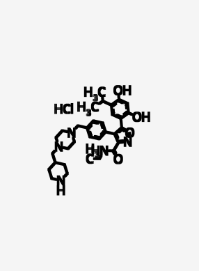 CCNC(=O)c1noc(-c2cc(C(C)C)c(O)cc2O)c1-c1ccc(CN2CCN(CC3CCNCC3)CC2)cc1.Cl